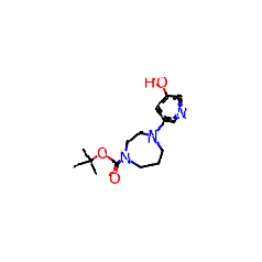 CC(C)(C)OC(=O)N1CCCN(c2cncc(O)c2)CC1